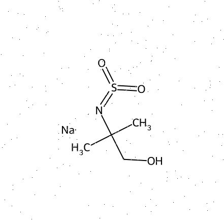 CC(C)(CO)N=S(=O)=O.[Na]